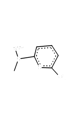 CNN(C)c1cccc(C(F)(F)F)n1